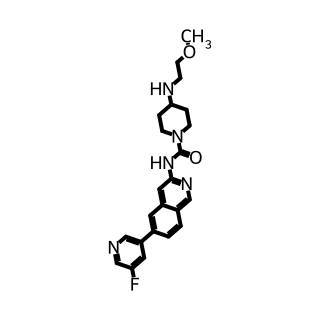 COCCNC1CCN(C(=O)Nc2cc3cc(-c4cncc(F)c4)ccc3cn2)CC1